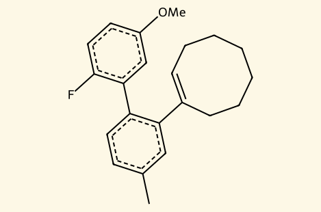 COc1ccc(F)c(-c2ccc(C)cc2/C2=C/CCCCCC2)c1